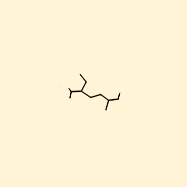 CCC(C)CCC(CO)C(C)C